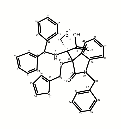 CC[C@](NC(c1ccccc1)c1ccccc1)(C(=O)O)C1(OCc2cccs2)C(=O)N(Cc2ccccc2)c2ccccc21